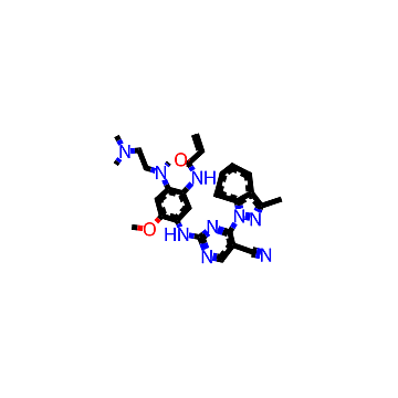 C=CC(=O)Nc1cc(Nc2ncc(C#N)c(-n3nc(C)c4ccccc43)n2)c(OC)cc1N(C)CCN(C)C